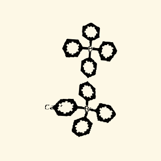 [Ca+2].c1ccc([B-](c2ccccc2)(c2ccccc2)c2ccccc2)cc1.c1ccc([B-](c2ccccc2)(c2ccccc2)c2ccccc2)cc1